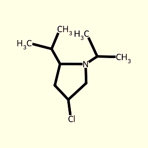 CC(C)C1CC(Cl)CN1C(C)C